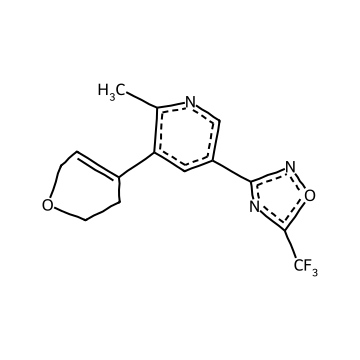 Cc1ncc(-c2noc(C(F)(F)F)n2)cc1C1=CCOCC1